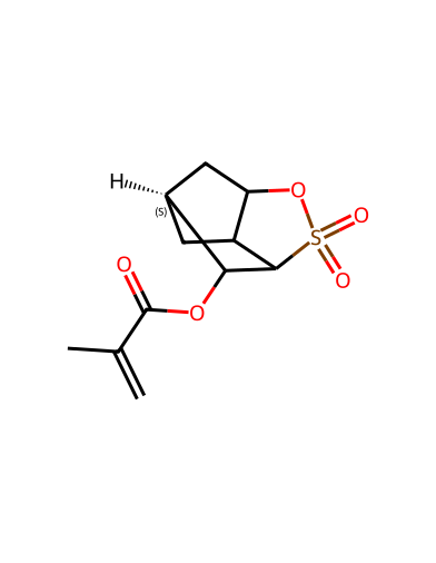 C=C(C)C(=O)OC1C2C3C[C@H]1CC3OS2(=O)=O